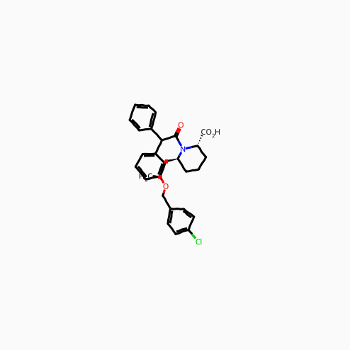 CC(C[C@@H]1CCC[C@@H](C(=O)O)N1C(=O)C(c1ccccc1)c1ccccc1)OCc1ccc(Cl)cc1